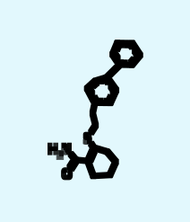 NC(=O)C1=C(SCCc2ccc(-c3ccccc3)cc2)CCCC1